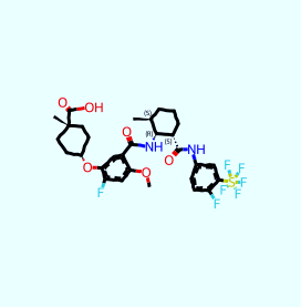 COc1cc(F)c(O[C@H]2CC[C@@](C)(C(=O)O)CC2)cc1C(=O)N[C@H]1[C@@H](C(=O)Nc2ccc(F)c(S(F)(F)(F)(F)F)c2)CCC[C@@H]1C